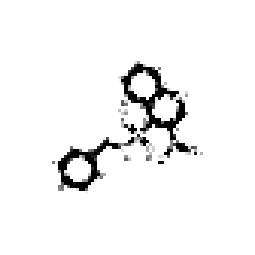 O=[N+]([O-])c1cnc2ccccc2c1S(=O)(=O)OCc1ccccc1